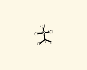 CC(Cl)S(Cl)(Cl)Cl